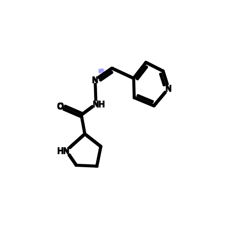 O=C(N/N=C\c1ccncc1)C1CCCN1